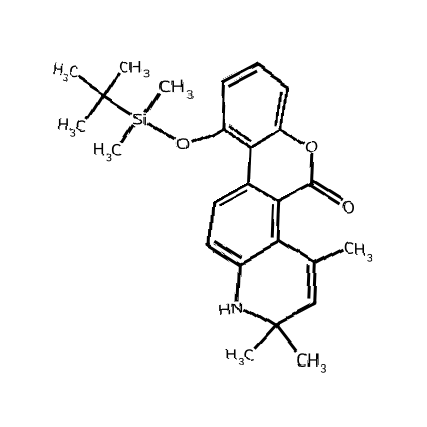 CC1=CC(C)(C)Nc2ccc3c(c21)c(=O)oc1cccc(O[Si](C)(C)C(C)(C)C)c13